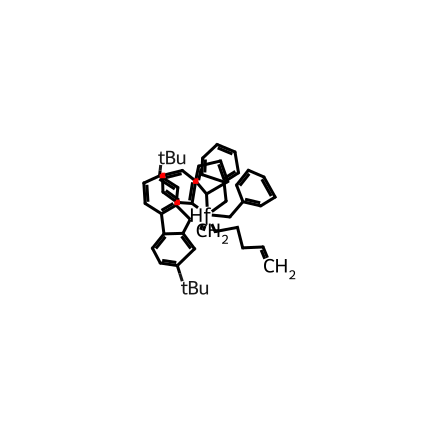 C=CCC[CH2][Hf](=[CH2])([CH2]c1ccccc1)([CH2]c1ccccc1)([c]1ccccc1)([CH]1C=CC=C1)[CH]1c2cc(C(C)(C)C)ccc2-c2ccc(C(C)(C)C)cc21